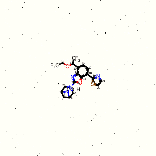 O=C(O)N1C2CC1CN(c1nc3c(C(OCC(F)(F)F)C(F)(F)F)ccc(-c4nccs4)c3o1)C2